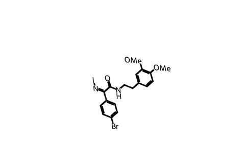 COc1ccc(CCNC(=O)/C(=N\I)c2ccc(Br)cc2)cc1OC